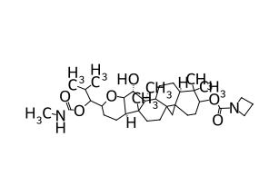 CNC(=O)OC(C(C)C)C1CC[C@H]2C(O1)[C@H](O)[C@@]1(C)C3CC[C@H]4C(C)(C)C(OC(=O)N5CCC5)CCC45CC35CCC21C